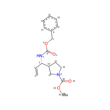 C=C[C@H](NC(=O)OCc1ccccc1)C1CCN(C(=O)OC(C)(C)C)C1